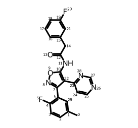 Cc1ccc(F)c(-c2noc(NC(=O)Cc3cccc(F)c3)c2-c2ccncn2)c1